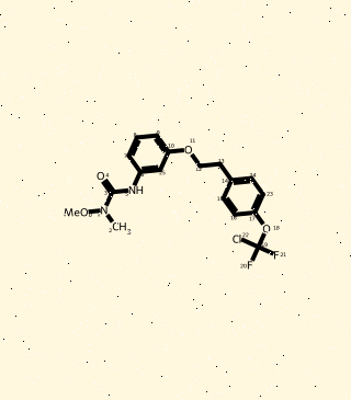 CON(C)C(=O)Nc1cccc(OCCc2ccc(OC(F)(F)Cl)cc2)c1